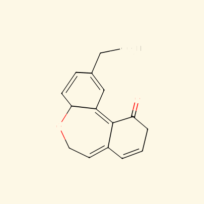 O=C(O)CC1=CC2=C3C(=O)CC=CC3=CCOC2C=C1